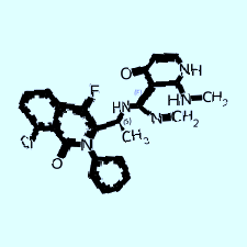 C=N/C(N[C@@H](C)c1c(F)c2cccc(Cl)c2c(=O)n1-c1ccccc1)=C1/C(=O)C=CNC1NC